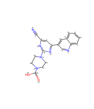 N#Cc1cc(-c2cnc3ccccc3c2)nc(N2CCN(C(=O)O)CC2)n1